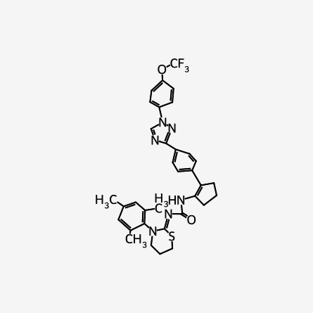 Cc1cc(C)c(N2CCCS/C2=N\C(=O)NC2=C(c3ccc(-c4ncn(-c5ccc(OC(F)(F)F)cc5)n4)cc3)CCC2)c(C)c1